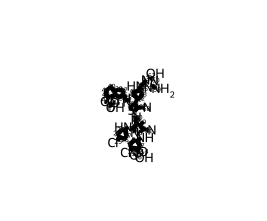 Cc1c(C#N)c(Nc2ccc(Cl)c(S(=O)(=O)O)c2)nc(Nc2ccc(Cl)cc2)c1N=Nc1sc(N=Nc2ccc3cccc(S(=O)(=O)O)c3c2)c(-c2ccc(Nc3nc(N)nc(O)n3)cc2)c1C#N